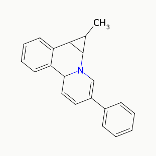 CC1C2c3ccccc3C3C=CC(c4ccccc4)=CN3C12